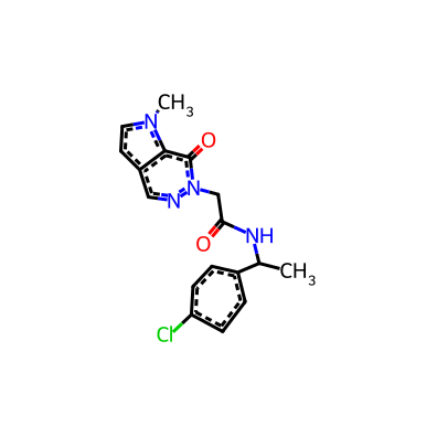 CC(NC(=O)Cn1ncc2ccn(C)c2c1=O)c1ccc(Cl)cc1